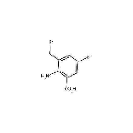 Nc1c(CBr)cc(Br)cc1C(=O)O